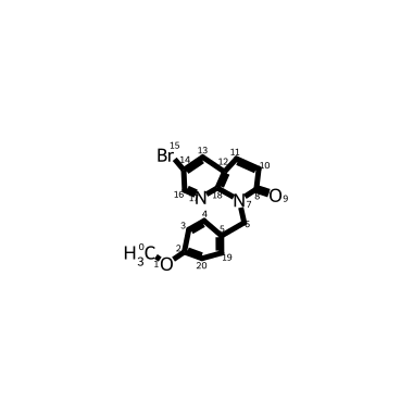 COc1ccc(Cn2c(=O)ccc3cc(Br)cnc32)cc1